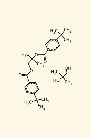 CC(C)(COC(=O)c1ccc(C(C)(C)C)cc1)OC(=O)c1ccc(C(C)(C)C)cc1.CC(C)(O)CO